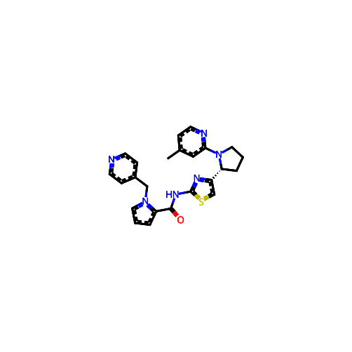 Cc1ccnc(N2CCC[C@@H]2c2csc(NC(=O)c3cccn3Cc3ccncc3)n2)c1